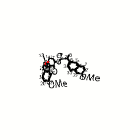 COc1ccc2cc(C(C)C(=O)OC3=CCC4C5Cc6ccc(OC)c7c6C4(CCN5C)C3O7)ccc2c1